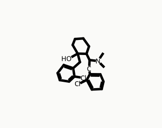 CN(C)C(Cc1ccccc1Cl)C1CCCCC1(O)Cc1ccccc1Cl